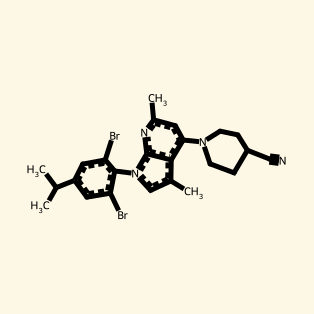 Cc1cc(N2CCC(C#N)CC2)c2c(C)cn(-c3c(Br)cc(C(C)C)cc3Br)c2n1